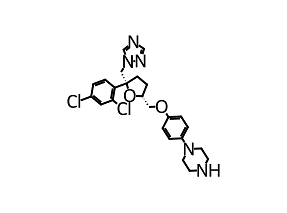 Clc1ccc([C@@]2(Cn3cncn3)CC[C@H](COc3ccc(N4CCNCC4)cc3)O2)c(Cl)c1